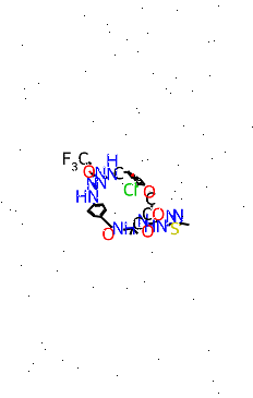 Cc1nnc(NC(=O)C(=O)N2CCCOc3ccc(cc3Cl)CNc3nc(nc(OCC(F)(F)F)n3)Nc3ccc(cc3)C(=O)NCC(C)(C)C2)s1